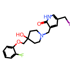 O=c1[nH]cc(CI)cc1CN1CCC(O)(COc2ccccc2F)CC1